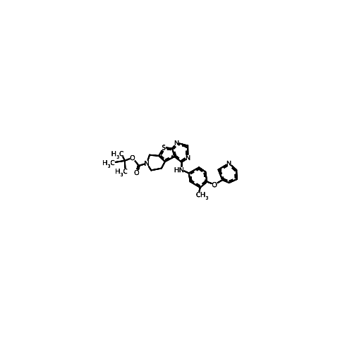 Cc1cc(Nc2ncnc3sc4c(c23)CCN(C(=O)OC(C)(C)C)C4)ccc1Oc1cccnc1